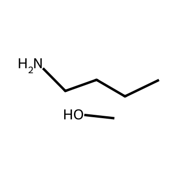 CCCCN.CO